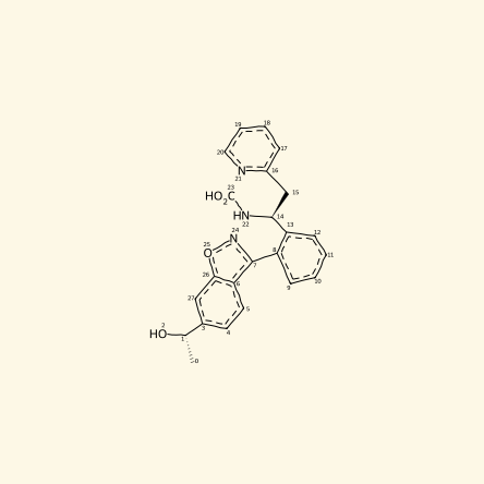 C[C@H](O)c1ccc2c(-c3ccccc3[C@H](Cc3ccccn3)NC(=O)O)noc2c1